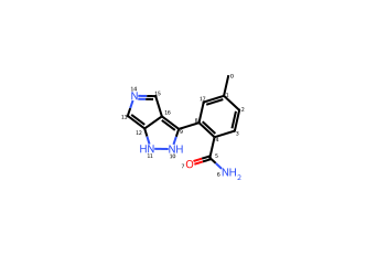 Cc1ccc(C(N)=O)c(-c2[nH][nH]c3cncc2-3)c1